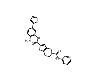 Nc1ccc(-c2cccs2)cc1NC(=O)c1cc2c(s1)CCN(C(=O)Nc1cccnc1)C2